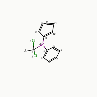 [CH2]C(Cl)(Cl)P(c1ccccc1)c1ccccc1